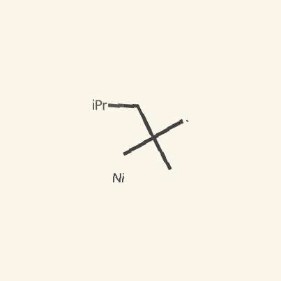 [CH2]C(C)(C)CC(C)C.[Ni]